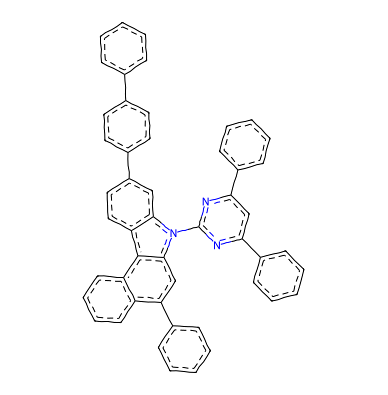 c1ccc(-c2ccc(-c3ccc4c5c6ccccc6c(-c6ccccc6)cc5n(-c5nc(-c6ccccc6)cc(-c6ccccc6)n5)c4c3)cc2)cc1